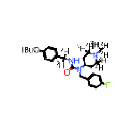 [2H]C([2H])(NC(=O)N(Cc1ccc(F)cc1)C1CC([2H])([2H])N(C([2H])([2H])[2H])C([2H])([2H])C1)c1ccc(OCC(C)C)cc1